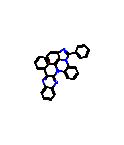 c1ccc(-c2nc3ccccc3nc2N2c3ccccc3-n3c(-c4ccccc4)nc4cccc2c43)cc1